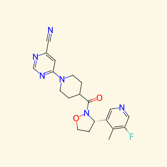 Cc1c(F)cncc1[C@@H]1CCON1C(=O)C1CCN(c2cc(C#N)ncn2)CC1